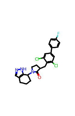 O=C1C(Cc2c(Cl)cc(-c3ccc(F)cc3)cc2Cl)CCN1C1CCCc2cn[nH]c21